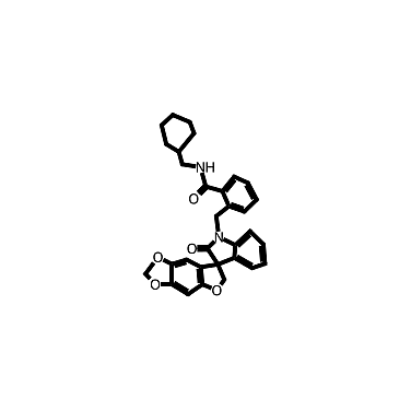 O=C(NCC1CCCCC1)c1ccccc1CN1C(=O)C2(COc3cc4c(cc32)OCO4)c2ccccc21